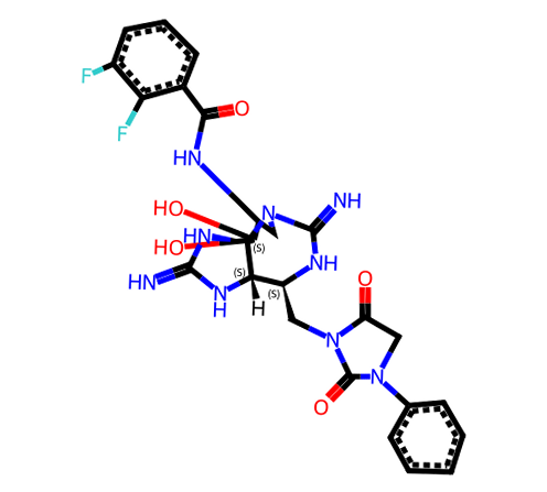 N=C1N[C@H]2[C@H](CN3C(=O)CN(c4ccccc4)C3=O)NC(=N)N3CC(NC(=O)c4cccc(F)c4F)C(O)(O)[C@]23N1